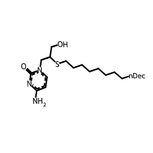 CCCCCCCCCCCCCCCCCCSC(CO)Cn1ccc(N)nc1=O